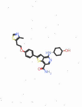 Cc1ncsc1CCOc1ccc(-c2cc3c(N[C@H]4CC[C@H](O)CC4)ncc(C(N)=O)c3s2)cc1